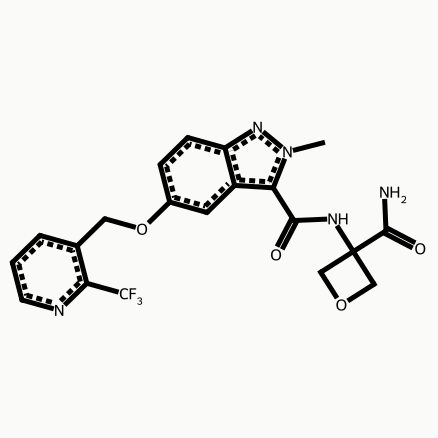 Cn1nc2ccc(OCc3cccnc3C(F)(F)F)cc2c1C(=O)NC1(C(N)=O)COC1